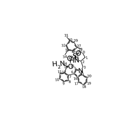 CCC(Cn1cc(-c2ccccc2C(N)=O)c2ccccc21)NS(=O)(=O)c1c(C)cc(C)cc1C